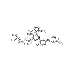 CNC[C@@H](O)COc1ccc(Cl)c(-c2nc(-c3c(C)noc3C)c(C)c(N3CC4(CCN(C(=O)OC(C)C)C4)C3)n2)c1